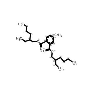 CCCCC(CC)COC(=O)c1ccccc1C(=O)OCC(CC)CCCC.[GeH4]